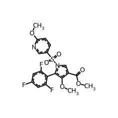 COC(=O)c1cn(S(=O)(=O)c2ccc(OC)nc2)c(-c2c(F)cc(F)cc2F)c1OC